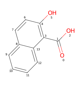 O=C(O)c1c(O)ccc2c[c]ccc12